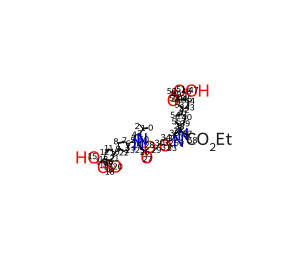 C=C(C)c1cc(-c2ccc(-c3ccc(CO)c(S(C)(=O)=O)c3)cc2)n(CC(=O)OCCOC(C)(C)c2cc(-c3ccc(-c4ccc(CO)c(S(C)(=O)=O)c4)cc3)n(CC(=O)OCC)n2)n1